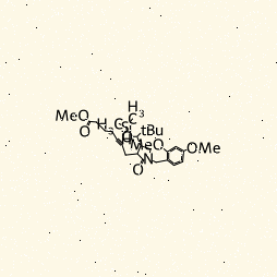 COC(=O)CCCC#CCC1C(=O)N(Cc2ccc(OC)cc2OC)CC1C(O[SiH](C)C)C(C)(C)C